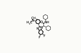 CN(C)c1cccc(-c2nc3cc(F)c(F)cc3n2C(C(=O)NC2CCCCC2)C2CCCCC2)c1